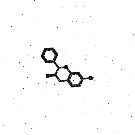 O=C1Cc2ccc(Br)cc2OC1c1ccccc1